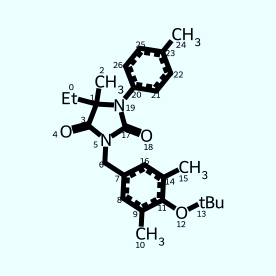 CCC1(C)C(=O)N(Cc2cc(C)c(OC(C)(C)C)c(C)c2)C(=O)N1c1ccc(C)cc1